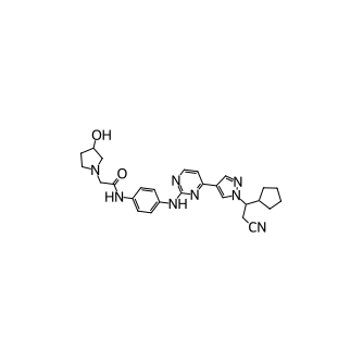 N#CCC(C1CCCC1)n1cc(-c2ccnc(Nc3ccc(NC(=O)CN4CCC(O)C4)cc3)n2)cn1